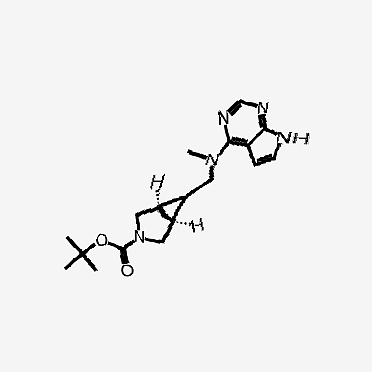 CN(CC1[C@H]2CN(C(=O)OC(C)(C)C)C[C@@H]12)c1ncnc2[nH]ccc12